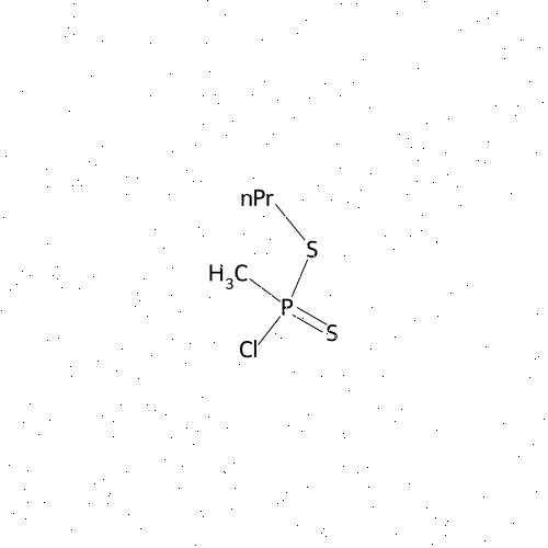 CCCSP(C)(=S)Cl